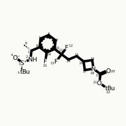 C[C@@H](N[S@@+]([O-])C(C)(C)C)c1cccc(C(F)(F)CCC2CN(C(=O)OC(C)(C)C)C2)c1F